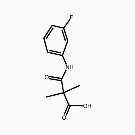 CC(C)(C(=O)O)C(=O)Nc1cccc(F)c1